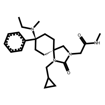 CCN(C)[C@]1(c2ccccc2)CC[C@]2(CC1)CN(CC(=O)NC)C(=O)N2CC1CC1